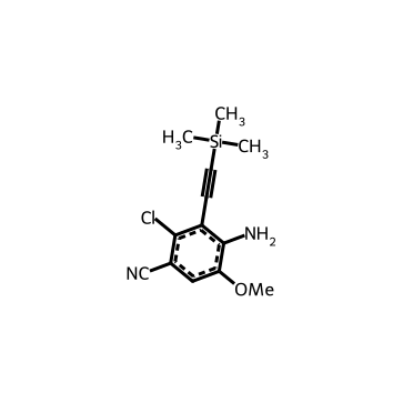 COc1cc(C#N)c(Cl)c(C#C[Si](C)(C)C)c1N